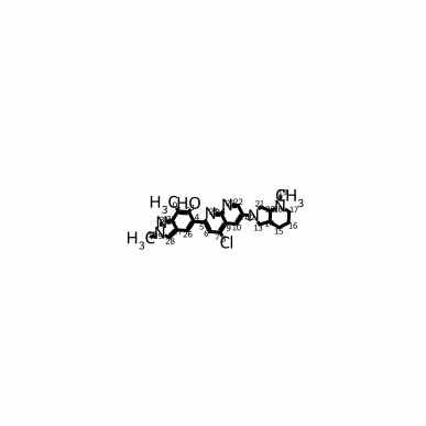 Cc1c(O)c(-c2cc(Cl)c3cc(N4CC5CCCN(C)C5C4)cnc3n2)cc2cn(C)nc12